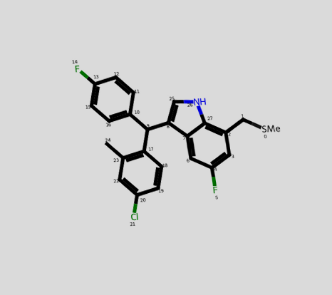 CSCc1cc(F)cc2c(C(c3ccc(F)cc3)c3ccc(Cl)cc3C)c[nH]c12